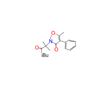 CCC(C)C(=O)C(C)(C)N1COC(C)=C(c2ccccc2)C1=O